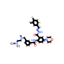 CCN(CC)CCN(C)Cc1cccc(C(=O)Nc2ccc(N3CCOCC3)cc2C(=O)N/N=C/c2ccc(C)c(C)c2)c1